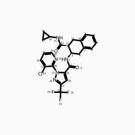 O=C(N[C@@H]1Cc2ccccc2C[C@@H]1C(=O)NC1CC1)c1cc(C(F)(F)F)nn1-c1ncccc1Cl